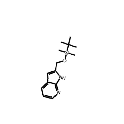 CC(C)(C)[Si](C)(C)OCc1cc2cccnc2[nH]1